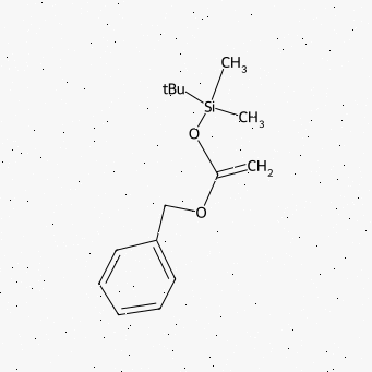 C=C(OCc1ccccc1)O[Si](C)(C)C(C)(C)C